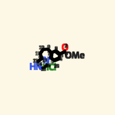 COC(=O)c1ccc2c(c1)CCCC1CNCCN21.Cl